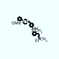 CC/C(C)=C/C=C\c1cccc(SNc2ccc(CN3CCCN(c4ccccc4OC)CC3)cc2)c1C